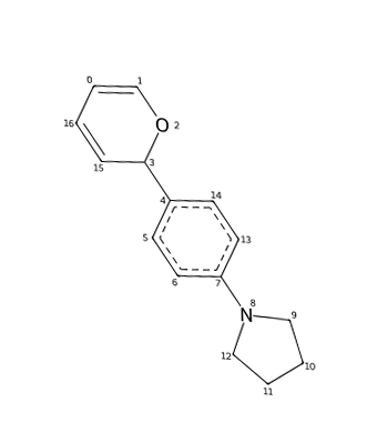 C1=COC(c2ccc(N3CCCC3)cc2)C=C1